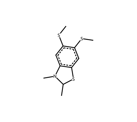 CSc1cc2c(cc1SC)N(C)C(C)S2